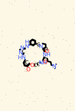 COc1ccc2cc1OCCNC(=O)[C@H](CCCCN(C)C)NC(=O)[C@@H]1CCCN1Cc1cccc(c1)Nc1cc(ncn1)N2